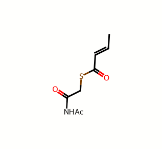 CC=CC(=O)SCC(=O)NC(C)=O